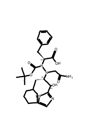 CC(C)(C)OC(=O)N([C@@H](Cc1ccccc1)C(=O)O)N(CC(N)=O)[C@@H](CC1CCCCC1)[C@@H](O)c1ncc[nH]1